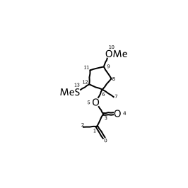 C=C(C)C(=O)OC1(C)CC(OC)CC1SC